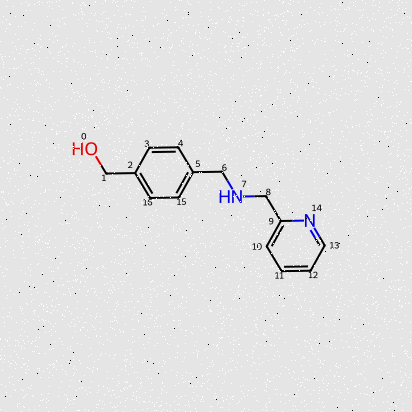 OCc1ccc(CNCc2ccccn2)cc1